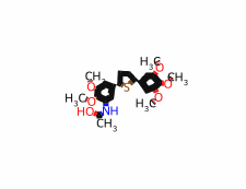 COc1cc([C@@H]2CC[C@@H](c3cc(OC)c(OC)c(OC)c3)S2)cc(NC(C)O)c1OC